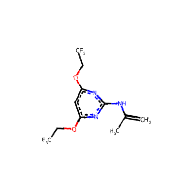 C=C(C)Nc1nc(OCC(F)(F)F)cc(OCC(F)(F)F)n1